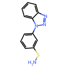 NSc1cccc(-n2nnc3ccccc32)c1